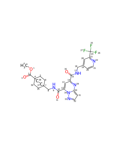 COC(=O)C12CCC(CNC(=O)c3cc(C(=O)NCc4ccnc(C(F)(F)F)c4)nc4ccnn34)(CC1)CC2